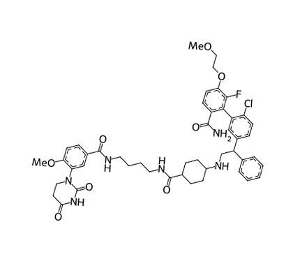 COCCOc1ccc(C(N)=O)c(-c2cc(C(CNC3CCC(C(=O)NCCCCNC(=O)c4ccc(OC)c(N5CCC(=O)NC5=O)c4)CC3)c3ccccc3)ccc2Cl)c1F